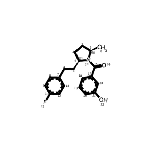 C[C@@H]1CC[C@H](CCc2ccc(F)cc2)N1C(=O)c1cccc(O)c1